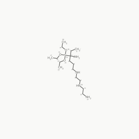 [CH2]CC(N)(CCCNCCNCCN)[Si](OCC)(OCC)OCC